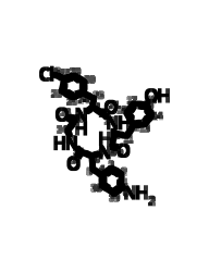 Nc1ccc(CC2NC(=O)C(Cc3ccc(O)cc3)NC(=O)C(Cc3ccc(Cl)cc3)NC(=O)CNC2=O)cc1